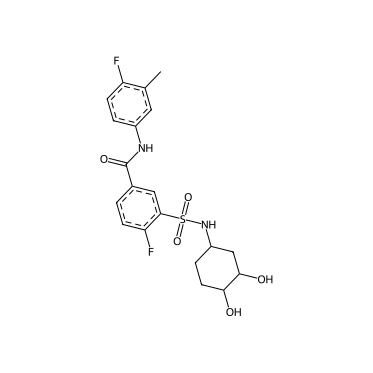 Cc1cc(NC(=O)c2ccc(F)c(S(=O)(=O)NC3CCC(O)C(O)C3)c2)ccc1F